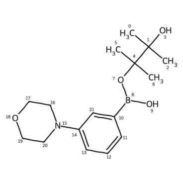 CC(C)(O)C(C)(C)OB(O)c1cccc(N2CCOCC2)c1